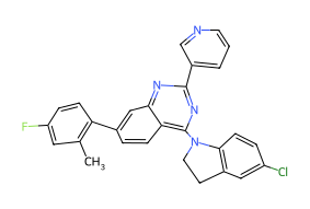 Cc1cc(F)ccc1-c1ccc2c(N3CCc4cc(Cl)ccc43)nc(-c3cccnc3)nc2c1